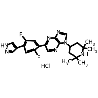 CC1(C)CC(n2cnc3nc(-c4cc(F)c(-c5cn[nH]c5)cc4F)cnc32)CC(C)(C)N1.Cl